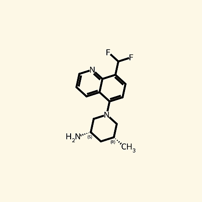 C[C@@H]1C[C@H](N)CN(c2ccc(C(F)F)c3ncccc23)C1